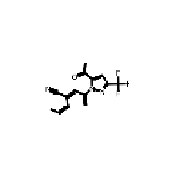 C=C(/C=C(C#N)\C=C/C)n1nc(C(F)(F)F)cc1C(C)=O